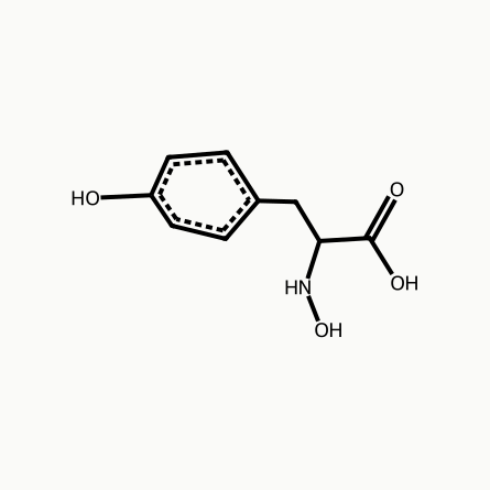 O=C(O)C(Cc1ccc(O)cc1)NO